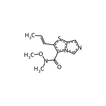 C/C=C/c1sc2cncn2c1C(=O)N(C)OC